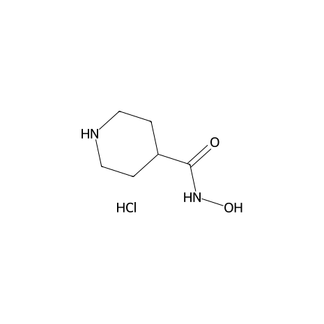 Cl.O=C(NO)C1CCNCC1